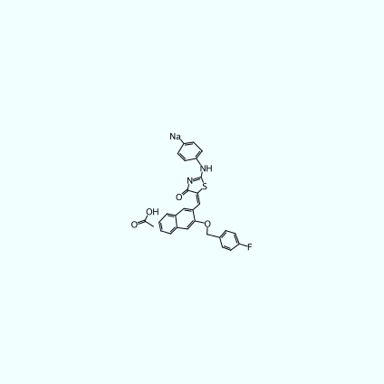 CC(=O)O.O=C1N=C(Nc2cc[c]([Na])cc2)SC1=Cc1cc2ccccc2cc1OCc1ccc(F)cc1